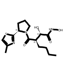 CCCC[C@@H](C(=O)N1CCC[C@H]1c1nc(C)cs1)[C@H](O)C(=O)NO